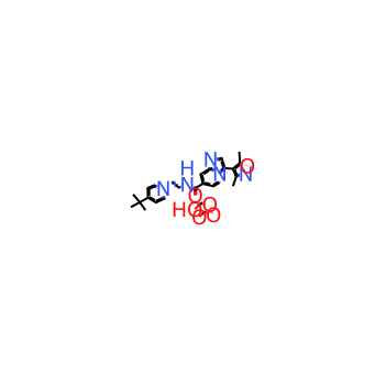 Cc1noc(C)c1-c1cnc2cc(C(=O)NCC[n+]3ccc(C(C)(C)C)cc3)ccn12.O=CO.O=C[O-]